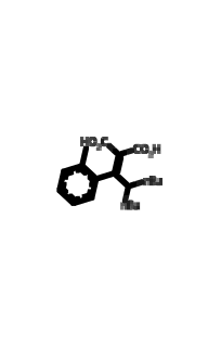 CCCCC(CCCC)C(=C(C(=O)O)C(=O)O)c1ccccc1C